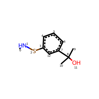 CNSc1cccc(C(C)(C)O)c1